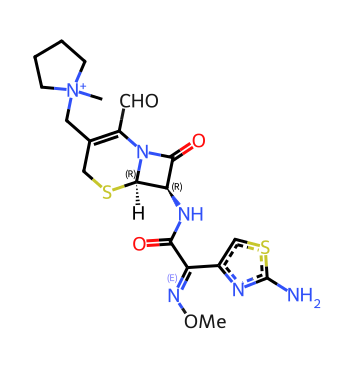 CO/N=C(/C(=O)N[C@@H]1C(=O)N2C(C=O)=C(C[N+]3(C)CCCC3)CS[C@H]12)c1csc(N)n1